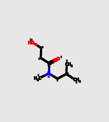 CC(C)CN(C)C(=O)CCO